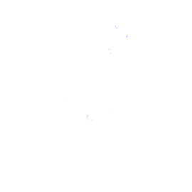 O=C(NC1CCCC1)c1cc(-n2cnnc2)ccc1Cl